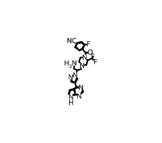 N#Cc1ccc(C(=O)N2CCN(CC(CN)n3cc(-c4ncnc5[nH]ccc45)cn3)CC2C(F)F)c(F)c1